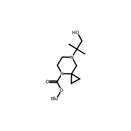 CC(C)(C)OC(=O)N1CCN(C(C)(C)CO)CC12CC2